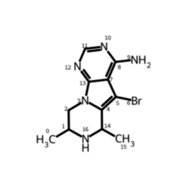 CC1Cn2c(c(Br)c3c(N)ncnc32)C(C)N1